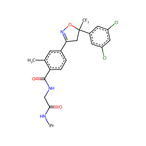 Cc1cc(C2=NOC(c3cc(Cl)cc(Cl)c3)(C(F)(F)F)C2)ccc1C(=O)NCC(=O)NC(C)C